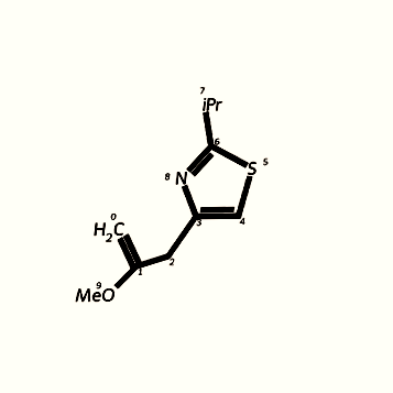 C=C(Cc1csc(C(C)C)n1)OC